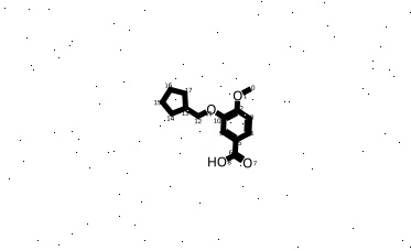 COc1ccc(C(=O)O)cc1OCC1CCCC1